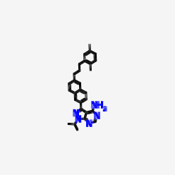 Cc1ccc(C)c(CCCc2ccc3cc(-c4nn(C(C)C)c5ncnc(N)c45)ccc3c2)c1